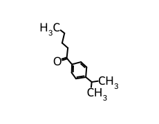 CCCCC(=O)c1ccc(C(C)C)cc1